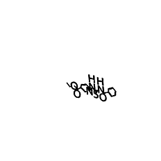 CCOC(=O)c1ccc(NC(=S)NC(=O)c2ccccc2)nc1